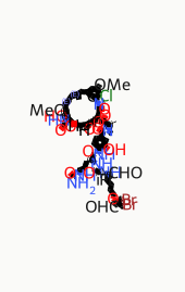 COc1cc2cc(c1Cl)N(C)C(=O)C[C@H](OC(=O)[C@H](C)N(C)C(=O)c1ccc(NC(=O)[C@H](CCCNC(N)=O)NC(=O)[C@@H](N[C@H](C=O)CCCCOC(C=O)(CBr)CBr)C(C)C)c(O)c1)[C@]1(C)O[C@H]1[C@H](C)[C@@H]1C[C@@](O)(NC(=O)O1)[C@H](OC)/C=C/C=C(\C)C2